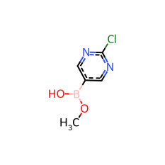 COB(O)c1cnc(Cl)nc1